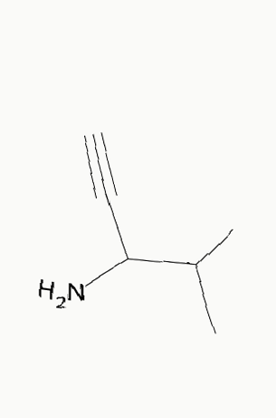 C#CC(N)C(C)C